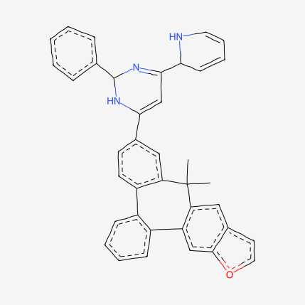 CC1(C)c2cc(C3=CC(C4C=CC=CN4)=NC(c4ccccc4)N3)ccc2-c2ccccc2-c2cc3occc3cc21